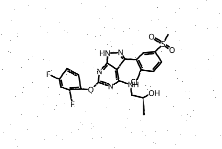 C[C@H](O)CNc1nc(Oc2ccc(F)cc2F)nc2[nH]nc(-c3cc(S(C)(=O)=O)ccc3Cl)c12